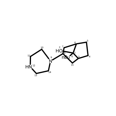 CCCCC1(O)C2CCC1CC(N1CCNCC1)C2